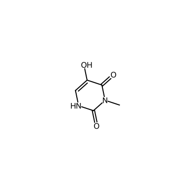 Cn1c(=O)[nH]cc(O)c1=O